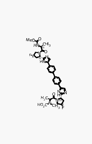 COC(=O)N[C@@H](C)C(=O)N1C[C@H](F)C[C@H]1c1ncc(-c2ccc(-c3ccc(-c4cnc([C@@H]5C[C@@H](F)CN5C(=O)[C@H](C)N(C)C(=O)O)[nH]4)cc3)cc2)[nH]1